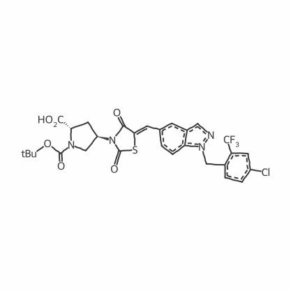 CC(C)(C)OC(=O)N1C[C@H](N2C(=O)S/C(=C\c3ccc4c(cnn4Cc4ccc(Cl)cc4C(F)(F)F)c3)C2=O)C[C@H]1C(=O)O